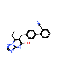 CCc1c(Cc2ccc(-c3ccccc3C#N)cc2)c(O)nc2ncnn12